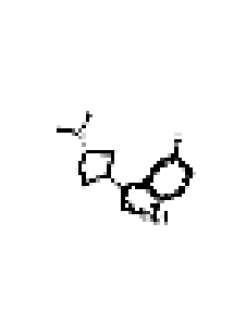 CN(C)[C@H]1CC[C@H](c2c[nH]c3ccc(F)cc23)C1